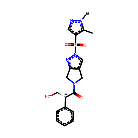 CCn1ncc(S(=O)(=O)n2cc3c(n2)CN(C(=O)[C@@H](CO)c2ccccc2)C3)c1C